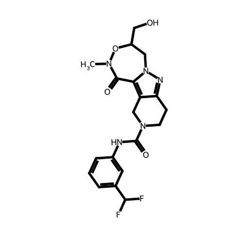 CN1OC(CO)Cn2nc3c(c2C1=O)CN(C(=O)Nc1cccc(C(F)F)c1)CC3